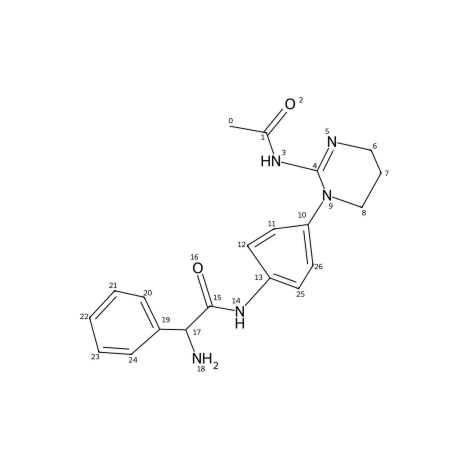 CC(=O)NC1=NCCCN1c1ccc(NC(=O)C(N)c2ccccc2)cc1